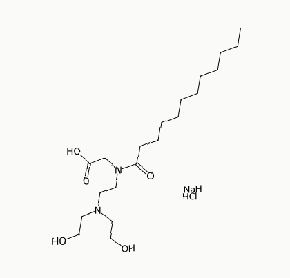 CCCCCCCCCCCC(=O)N(CCN(CCO)CCO)CC(=O)O.Cl.[NaH]